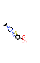 O=C(O)c1ccc2nc(N3CCN(C4CC4)CC3)sc2c1